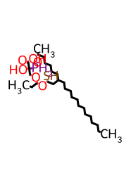 CCCCCCCCCCCCCC(CCCCCCC)CC(S)OC(CC)OCC(O)([PH2]=O)C(=O)O